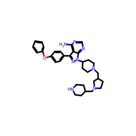 Nc1ncnc2c1c(-c1ccc(Oc3ccccc3)cc1)nn2C1CCN(CC2CCN(CC3CCNCC3)C2)CC1